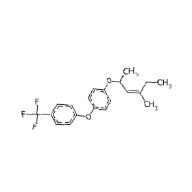 CCC(C)=CC(C)Oc1ccc(Oc2ccc(C(F)(F)F)cc2)cc1